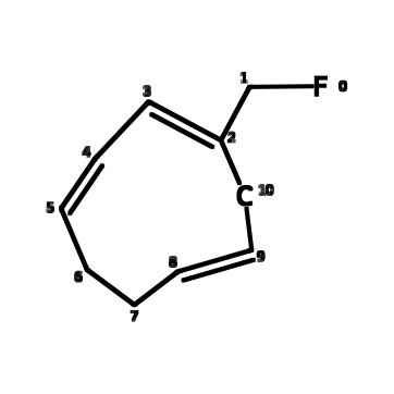 FC/C1=C/C=C\CC/C=C/C1